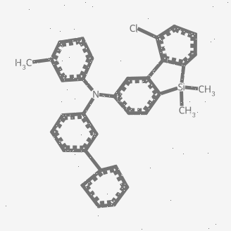 Cc1cccc(N(c2cccc(-c3ccccc3)c2)c2ccc3c(c2)-c2c(Cl)cccc2[Si]3(C)C)c1